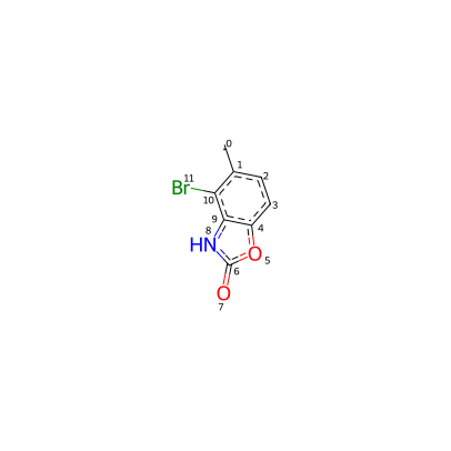 [CH2]c1ccc2oc(=O)[nH]c2c1Br